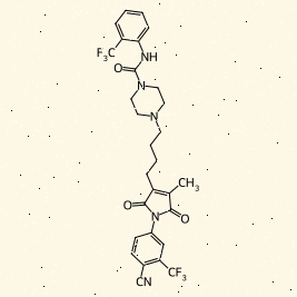 CC1=C(CCCCN2CCN(C(=O)Nc3ccccc3C(F)(F)F)CC2)C(=O)N(c2ccc(C#N)c(C(F)(F)F)c2)C1=O